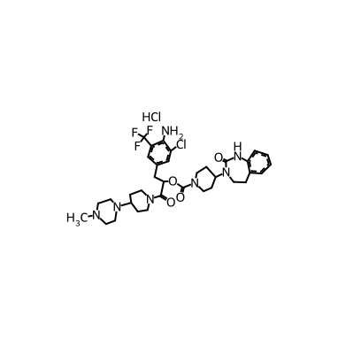 CN1CCN(C2CCN(C(=O)C(Cc3cc(Cl)c(N)c(C(F)(F)F)c3)OC(=O)N3CCC(N4CCc5ccccc5NC4=O)CC3)CC2)CC1.Cl